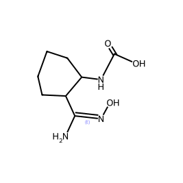 N/C(=N/O)C1CCCCC1NC(=O)O